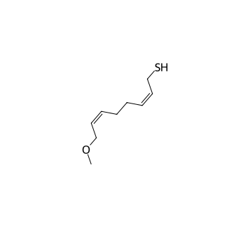 COC/C=C\CC/C=C\CS